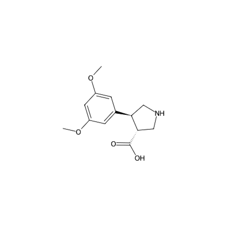 COc1cc(OC)cc([C@H]2CNC[C@@H]2C(=O)O)c1